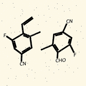 C=Cc1c(C)cc(C#N)cc1F.Cc1cc(C#N)cc(F)c1C=O